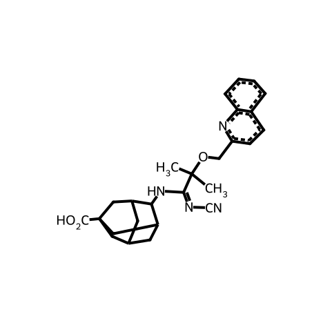 CC(C)(OCc1ccc2ccccc2n1)/C(=N\C#N)NC1C2CC3CC1CC(C(=O)O)(C3)C2